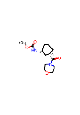 CC(C)(C)OC(=O)N[C@@H]1CCC[C@H](C(=O)N2CCOCC2)C1